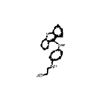 OCCNc1ccc(Nc2c3ccccc3nc3ccccc23)cc1